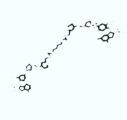 Cc1cc(S(=O)(=O)N2CC[C@H](COc3ccnc(CNC(=O)NCCCCNC(=O)NCc4cc(OC[C@H]5CCN(S(=O)(=O)c6ccc(O[C@H]7c8cc(Cl)cc(Cl)c8C[C@@H]7N(C)C)c(C)c6)C5)ccn4)c3)C2)ccc1O[C@H]1c2cc(Cl)cc(Cl)c2C[C@@H]1N(C)C